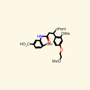 CCCCCC(CC(=O)Nc1cc(C(=O)O)ccc1C(C)(C)C)c1ccc(OCCOC)cc1OC